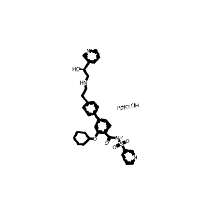 Cl.Cl.Cl.O=C(NS(=O)(=O)c1cccnc1)c1ccc(-c2ccc(CCNC[C@@H](O)c3cccnc3)cc2)cc1OC1CCCCC1